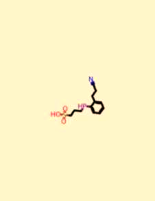 N#CCCc1ccccc1PCCCS(=O)(=O)O